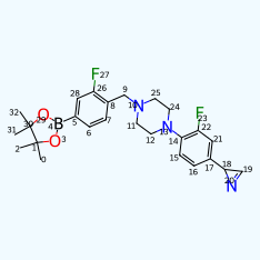 CC1(C)OB(c2ccc(CN3CCN(c4ccc(C5C=N5)cc4F)CC3)c(F)c2)OC1(C)C